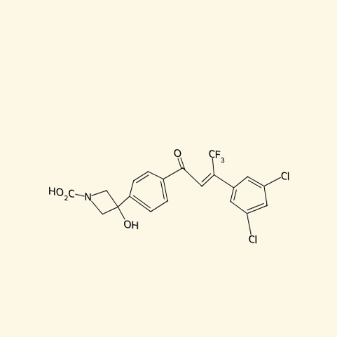 O=C(C=C(c1cc(Cl)cc(Cl)c1)C(F)(F)F)c1ccc(C2(O)CN(C(=O)O)C2)cc1